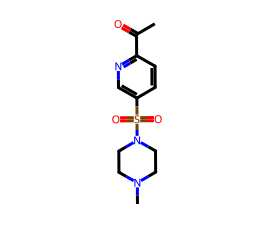 CC(=O)c1ccc(S(=O)(=O)N2CCN(C)CC2)cn1